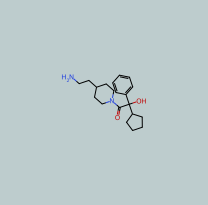 NCCC1CCN(C(=O)C(O)(c2ccccc2)C2CCCC2)CC1